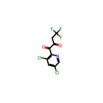 O=C(CC(F)(F)F)C(=O)c1ncc(Cl)cc1Cl